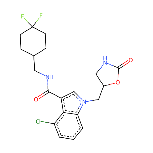 O=C1NCC(Cn2cc(C(=O)NCC3CCC(F)(F)CC3)c3c(Cl)cccc32)O1